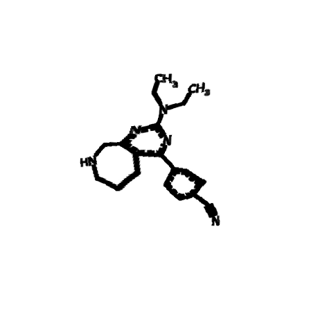 CCN(CC)c1nc2c(c(-c3ccc(C#N)cc3)n1)CCCNC2